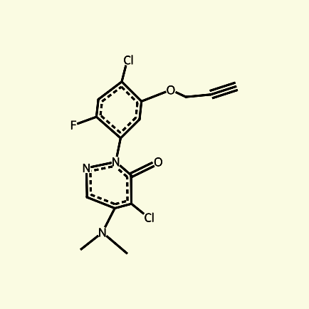 C#CCOc1cc(-n2ncc(N(C)C)c(Cl)c2=O)c(F)cc1Cl